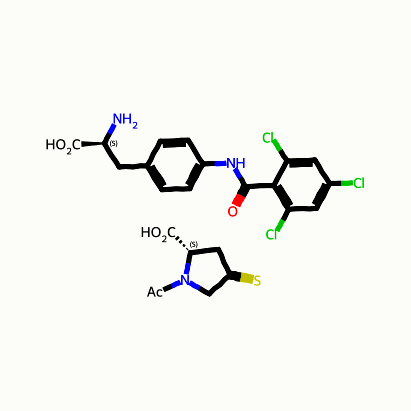 CC(=O)N1CC(=S)C[C@H]1C(=O)O.N[C@@H](Cc1ccc(NC(=O)c2c(Cl)cc(Cl)cc2Cl)cc1)C(=O)O